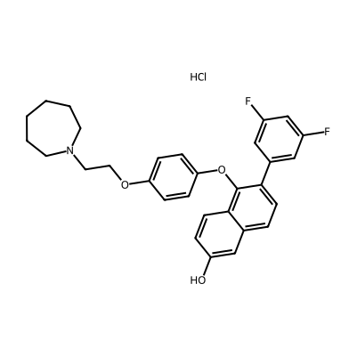 Cl.Oc1ccc2c(Oc3ccc(OCCN4CCCCCC4)cc3)c(-c3cc(F)cc(F)c3)ccc2c1